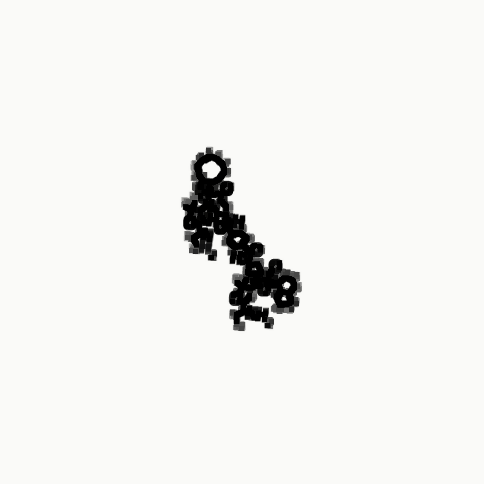 C=C1/C=C\C=C/CCCC[C@H]1NC(=O)[C@@H]1C[C@H](NC(=O)c2ccc(C(=O)N[C@H]3C[C@@H](C(=O)N[C@@H]4CCCc5ccccc54)N(C(=O)[C@@H](CC(=O)[C@@H](N)CC)C(C)(C)C)C3)cc2)CN1C(=O)[C@@H](NC(=O)[C@@H](N)CC)C(C)(C)C